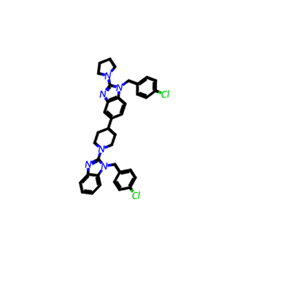 Clc1ccc(Cn2c(N3CCCC3)nc3cc(C4CCN(c5nc6ccccc6n5Cc5ccc(Cl)cc5)CC4)ccc32)cc1